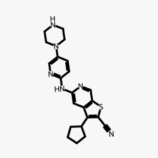 N#Cc1sc2cnc(Nc3ccc(N4CCNCC4)cn3)cc2c1C1CCCC1